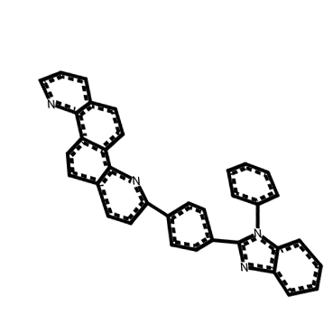 c1ccc(-n2c(-c3ccc(-c4ccc5ccc6c(ccc7cccnc76)c5n4)cc3)nc3ccccc32)cc1